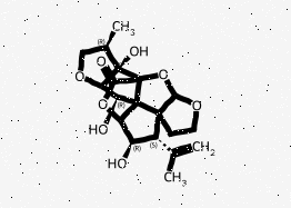 C=C(C)[C@@H]1[C@@H](O)C2OC(=O)C34OC5OCCC51C23[C@@H](O)C1OC[C@@H](C)[C@@]14O